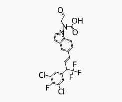 O=CCN(C(=O)O)n1ccc2cc(C=CC(c3cc(Cl)c(F)c(Cl)c3)C(F)(F)F)ccc21